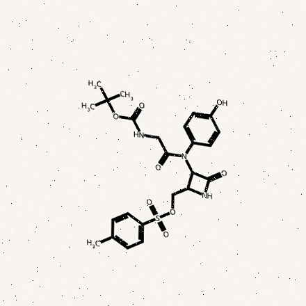 Cc1ccc(S(=O)(=O)OCC2NC(=O)C2N(C(=O)CNC(=O)OC(C)(C)C)c2ccc(O)cc2)cc1